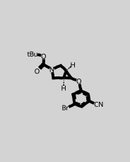 CC(C)(C)OC(=O)N1C[C@@H]2C(Oc3cc(Br)cc(C#N)c3)[C@@H]2C1